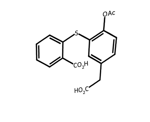 CC(=O)Oc1ccc(CC(=O)O)cc1Sc1ccccc1C(=O)O